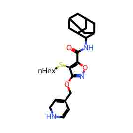 CCCCCCSc1c(OCC2=CCNC=C2)noc1C(=O)NC1C2CC3CC(C2)CC1C3